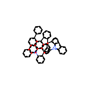 c1ccc(-c2ccc(-c3ccccc3N(c3ccc4c(c3)C3(c5ccccc5-4)c4ccccc4-n4c5ccccc5c5cccc3c54)c3ccccc3-c3ccccc3-c3ccccc3)cc2)cc1